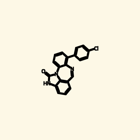 O=c1[nH]c2cccc3c2n1-c1cccc(-c2ccc(Cl)cc2)c1N=C3